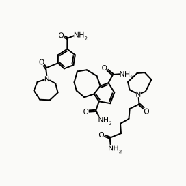 NC(=O)CCCCC(=O)N1CCCCCC1.NC(=O)c1ccc(C(N)=O)c2c1CCCCCC2.NC(=O)c1cccc(C(=O)N2CCCCCC2)c1